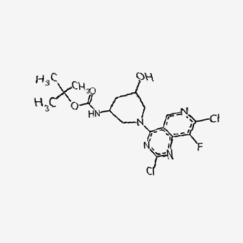 CC(C)(C)OC(=O)NC1CC(O)CN(c2nc(Cl)nc3c(F)c(Cl)ncc23)C1